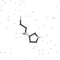 ICCN[C@H]1CCOC1